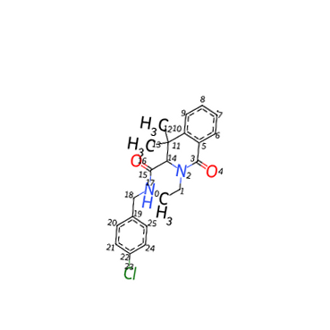 CCN1C(=O)c2c[c]ccc2C(C)(C)C1C(=O)NCc1ccc(Cl)cc1